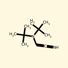 CC(C)(C)N(C=C=N)C(C)(C)C